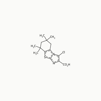 CC1(C)Cc2c(sc3nc(C(=O)O)c(Cl)n23)C(C)(C)C1